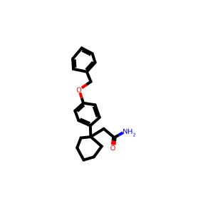 NC(=O)CC1(c2ccc(OCc3ccccc3)cc2)CCCCC1